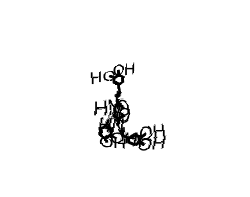 O=C(C=Cc1ccc(O)c(O)c1)N[C@@H](Cc1ccc(O)c(O)c1)C(=O)NCCc1ccc(O)c(O)c1